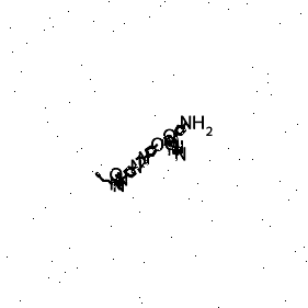 C#CCCCn1ncn(-c2ccc(N3CCN(c4ccc(OC[C@@H]5CO[C@@](Cn6cncn6)(c6ccc(N)cc6)O5)cc4)CC3)cc2)c1=O